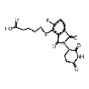 O=C(O)CCCCSc1c(F)ccc2c1C(=O)N(C1CCC(=O)NC1=O)C2=O